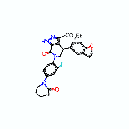 CCOC(=O)c1n[nH]c2c1C(c1ccc3occc3c1)CN(c1ccc(N3CCCCC3=O)cc1F)C2=O